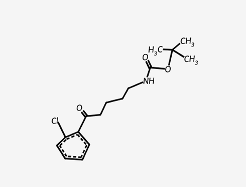 CC(C)(C)OC(=O)NCCCCC(=O)c1ccccc1Cl